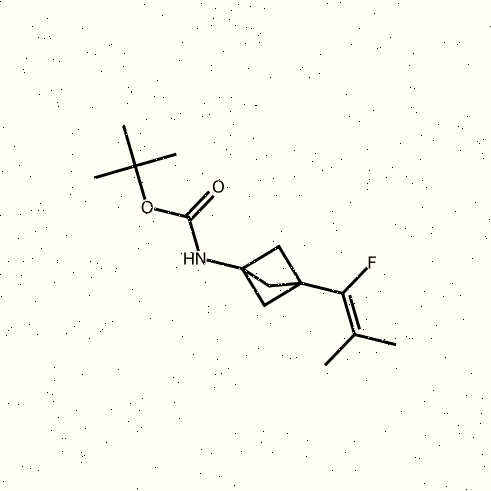 CC(C)=C(F)C12CC(NC(=O)OC(C)(C)C)(C1)C2